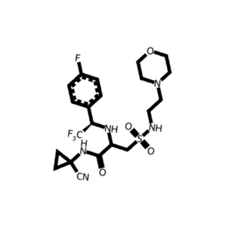 N#CC1(NC(=O)C(CS(=O)(=O)NCCN2CCOCC2)N[C@H](c2ccc(F)cc2)C(F)(F)F)CC1